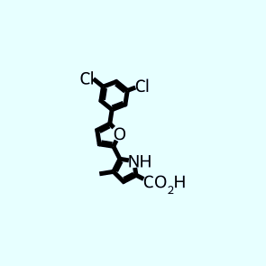 Cc1cc(C(=O)O)[nH]c1-c1ccc(-c2cc(Cl)cc(Cl)c2)o1